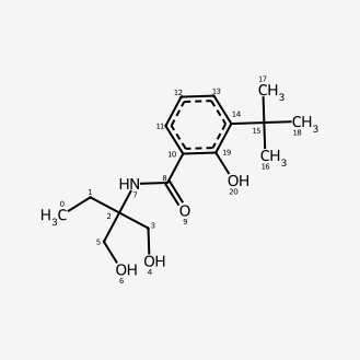 CCC(CO)(CO)NC(=O)c1cccc(C(C)(C)C)c1O